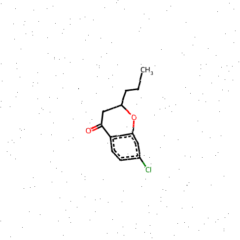 CCCC1CC(=O)c2ccc(Cl)cc2O1